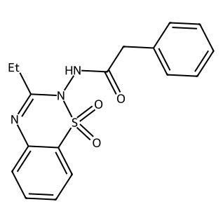 CCC1=Nc2ccccc2S(=O)(=O)N1NC(=O)Cc1ccccc1